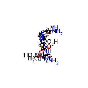 CC(C)(O/N=C(\C(=O)N[C@@H]1C(=O)N2C(C(=O)O)=C(C[n+]3ccc4n(Cc5cc(C(=N)N)co5)ccn43)CS[C@H]12)c1csc(N)n1)C(=O)O